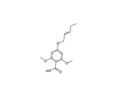 CCC=CCOc1cc(OC)c(C(=O)O)c(OC)c1